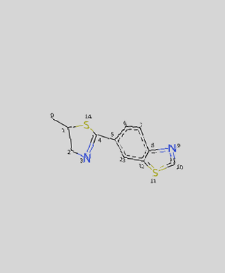 CC1CN=C(c2ccc3ncsc3c2)S1